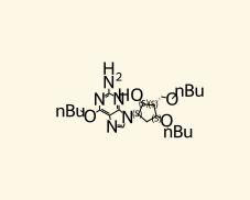 CCCCOC[C@H]1[C@H](O)[C@@H](n2cnc3c(OCCCC)nc(N)nc32)C[C@@H]1OCCCC